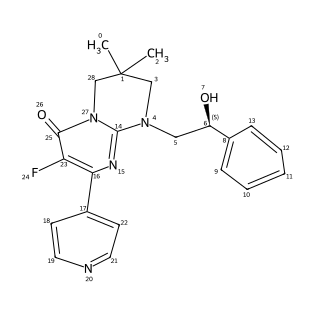 CC1(C)CN(C[C@@H](O)c2ccccc2)c2nc(-c3ccncc3)c(F)c(=O)n2C1